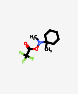 CN(OC(=O)C(F)(F)F)C1(C)CCCCC1